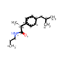 [CH2]CCNC(=O)[C@H](C)c1ccc(CC(C)C)cc1